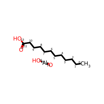 CCCCCCCCCCCC(=O)O.[O]=[Al][OH]